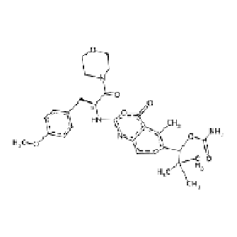 COc1ccc(C[C@H](Nc2nc3ccc(C(OC(N)=O)C(C)(C)C)c(C)c3c(=O)o2)C(=O)N2CCOCC2)cc1